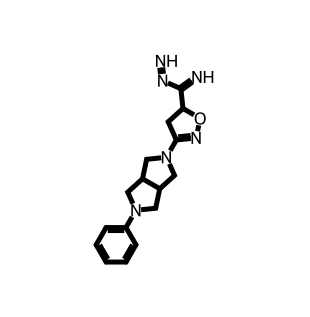 N=NC(=N)C1CC(N2CC3CN(c4ccccc4)CC3C2)=NO1